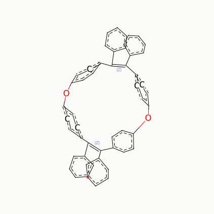 c1ccc(/C2=C(\c3ccccc3)c3ccc(cc3)Oc3ccc(cc3)/C(c3ccccc3)=C(/c3ccccc3)c3ccc(cc3)Oc3ccc2cc3)cc1